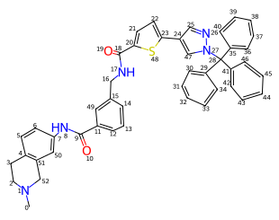 CN1CCc2ccc(NC(=O)c3cccc(CNC(=O)c4ccc(-c5cnn(C(c6ccccc6)(c6ccccc6)c6ccccc6)c5)s4)c3)cc2C1